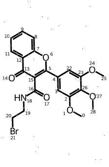 COc1cc(-c2oc3ccccc3c(=O)c2C(=O)NCCBr)cc(OC)c1OC